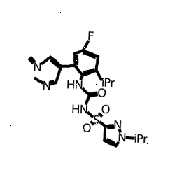 C=N/C=C(\C=N/C)c1cc(F)cc(C(C)C)c1NC(=O)NS(=O)(=O)c1ccn(C(C)C)n1